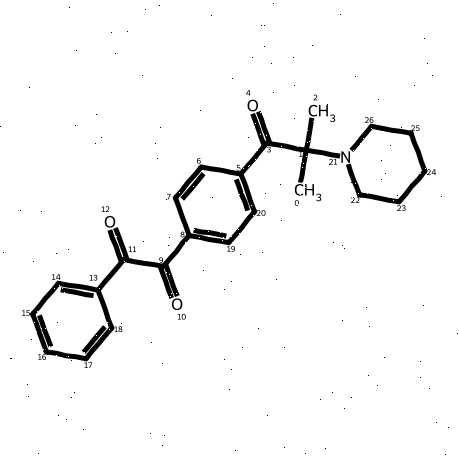 CC(C)(C(=O)c1ccc(C(=O)C(=O)c2ccccc2)cc1)N1CCCCC1